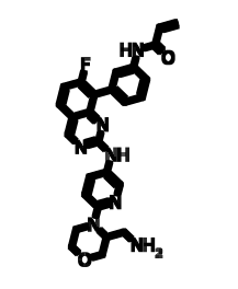 C=CC(=O)Nc1cccc(-c2c(F)ccc3cnc(Nc4ccc(N5CCOCC5CN)nc4)nc23)c1